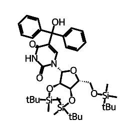 CC(C)(C)[Si](C)(C)OC[C@H]1O[C@@H](n2cc(C(O)(c3ccccc3)c3ccccc3)c(=O)[nH]c2=O)[C@H](O[Si](C)(C)C(C)(C)C)[C@@H]1O[Si](C)(C)C(C)(C)C